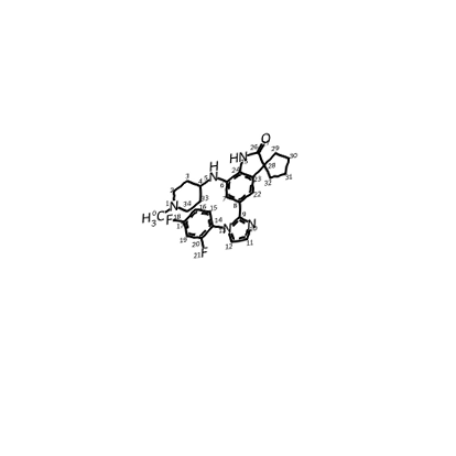 CN1CCC(Nc2cc(-c3nccn3-c3ccc(F)cc3F)cc3c2NC(=O)C32CCCC2)CC1